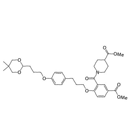 COC(=O)c1ccc(OCCCc2ccc(OCCCC3OCC(C)(C)CO3)cc2)c(C(=O)N2CCC(C(=O)OC)CC2)c1